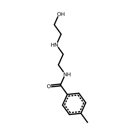 Cc1ccc(C(=O)NCCNCCO)cc1